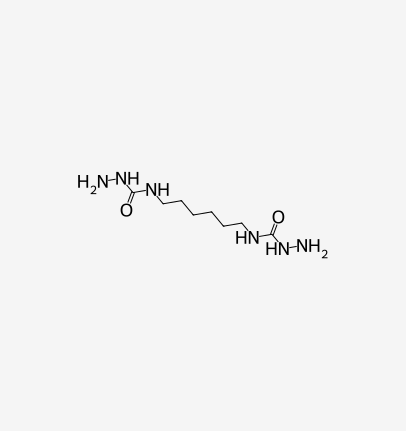 NNC(=O)NCCCCCCNC(=O)NN